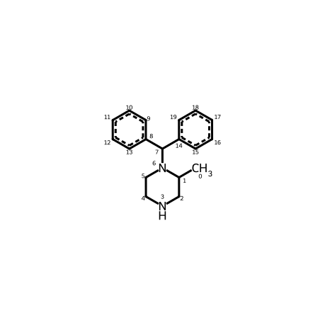 CC1CNCCN1C(c1ccccc1)c1ccccc1